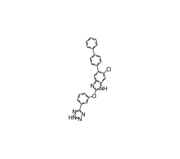 Clc1cc2[nH]c(Oc3cccc(-c4nn[nH]n4)c3)nc2cc1-c1ccc(-c2ccccc2)cc1